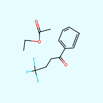 CCOC(C)=O.O=C(CCC(F)(F)F)c1ccccc1